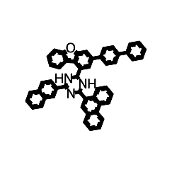 c1ccc(-c2ccc(-c3cc(C4NC(c5ccc6ccccc6c5)=NC(c5cc6ccccc6c6ccccc56)N4)c4c(c3)oc3ccccc34)cc2)cc1